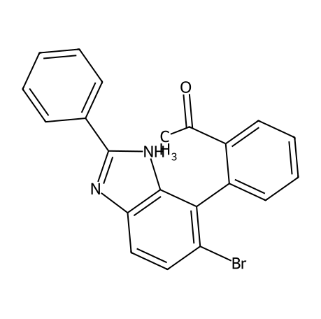 CC(=O)c1ccccc1-c1c(Br)ccc2nc(-c3ccccc3)[nH]c12